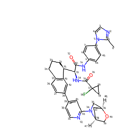 Cc1nccn1-c1ccc(NC(=O)[C@@H](NC(=O)C2(F)CC2)[C@@H]2CCCc3ccc(-c4ccnc(N5C[C@@H]6C[C@H]5CO6)c4)cc32)cc1